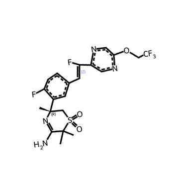 CC1(C)C(N)=N[C@](C)(c2cc(/C=C(\F)c3cnc(OCC(F)(F)F)cn3)ccc2F)CS1(=O)=O